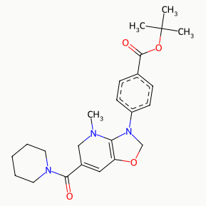 CN1CC(C(=O)N2CCCCC2)=CC2=C1N(c1ccc(C(=O)OC(C)(C)C)cc1)CO2